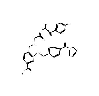 COC(=O)c1ccc(CNCC(=O)OC(C)C(=O)c2ccc(Cl)cc2)c(NCc2ccc(C(=O)N3CC=CC3)cc2)c1